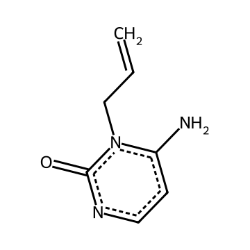 C=CCn1c(N)ccnc1=O